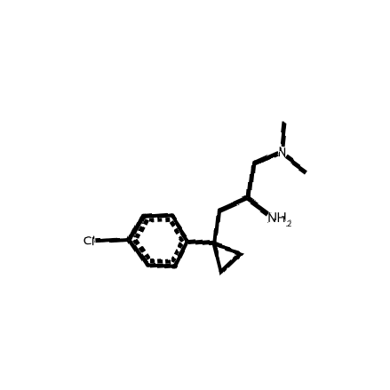 CN(C)CC(N)CC1(c2ccc(Cl)cc2)CC1